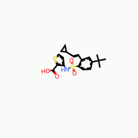 CC(C)(C)c1ccc(S(=O)(=O)Nc2ccsc2C(=O)O)c(/C=C/C2CC2)c1